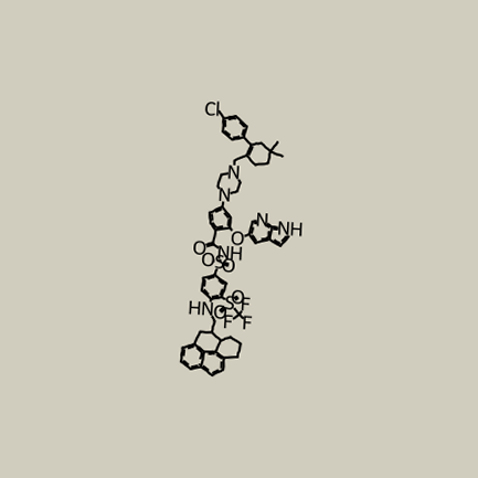 CC1(C)CCC(CN2CCN(c3ccc(C(=O)NS(=O)(=O)c4ccc(NCC5Cc6cccc7ccc8c(c67)C5CCC8)c(S(=O)(=O)C(F)(F)F)c4)c(Oc4cnc5[nH]ccc5c4)c3)CC2)=C(c2ccc(Cl)cc2)C1